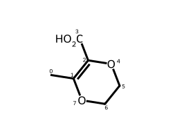 CC1=C(C(=O)O)OCCO1